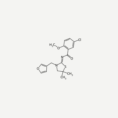 COc1ccc(Cl)cc1C(=O)N=C1SC(C)(C)CN1Cc1ccoc1